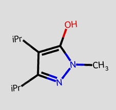 CC(C)c1nn(C)c(O)c1C(C)C